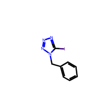 Ic1nnnn1Cc1ccccc1